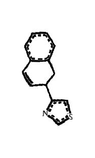 C1=CC(c2cscn2)Cc2ccccc21